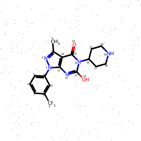 Cc1nn(-c2cccc(C(F)(F)F)c2)c2nc(O)n(C3CCNCC3)c(=O)c12